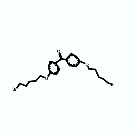 O=C(c1ccc(OCCCCCBr)cc1)c1ccc(OCCCCCBr)cc1